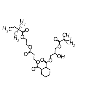 C=C(C)C(=O)OCC(O)COC(=O)C1CCCCC1C(=O)OCCC(=O)OCCOC(=O)C(C)(C)CC